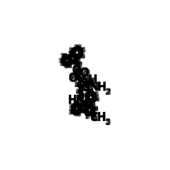 Cc1ccc(C(NCCCC[C@H](NC(=O)CN)C(=O)C(=O)OCC2c3ccccc3-c3ccccc32)(c2ccccc2)c2ccccc2)cc1